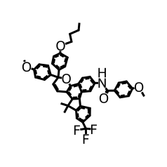 CCCCOc1ccc(C2(c3ccc(OC)cc3)C=Cc3c4c(c5cc(NC(=O)c6ccc(OC)cc6)ccc5c3O2)-c2ccc(C(F)(F)F)cc2C4(C)C)cc1